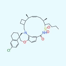 CCCCC1[C@H](C)C/C=C\[C@H](C)C2CCC2CN2C[C@@]3(CCCc4cc(Cl)ccc43)COc3ccc(cc32)C(=O)NS1(=O)=O